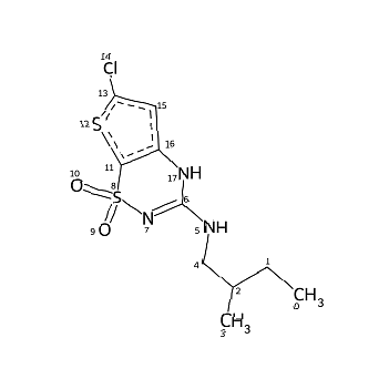 CCC(C)CNC1=NS(=O)(=O)c2sc(Cl)cc2N1